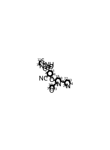 N#Cc1cc(S(=O)(=O)Nc2nccs2)ccc1Oc1ccc(-c2cccnc2)nc1-c1ccoc1